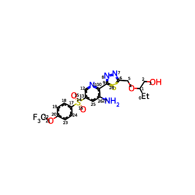 CCC(CO)OCc1nnc(-c2ncc(S(=O)(=O)c3ccc(OC(F)(F)F)cc3)cc2N)s1